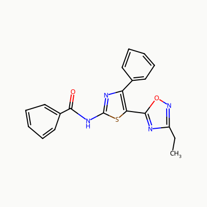 CCc1noc(-c2sc(NC(=O)c3ccccc3)nc2-c2ccccc2)n1